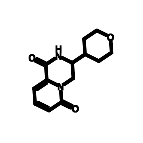 O=C1NC(C2CCOCC2)Cn2c1cccc2=O